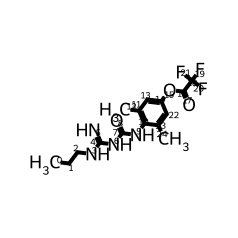 CCCNC(=N)NC(=O)Nc1c(C)cc(OC(=O)C(F)(F)F)cc1C